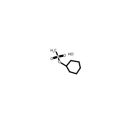 CS(=O)(=O)OC1CCCCC1.Cl